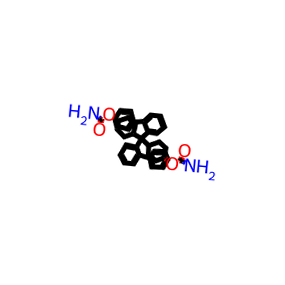 NC(=O)OC1CCC(C(c2ccccc2-c2ccccc2)(c2ccccc2-c2ccccc2)C2CCC(OC(N)=O)CC2)CC1